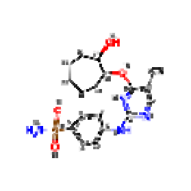 N#Cc1cnc(Nc2ccc(S(N)(=O)=O)cc2)nc1O[C@H]1CCCCC[C@H]1O